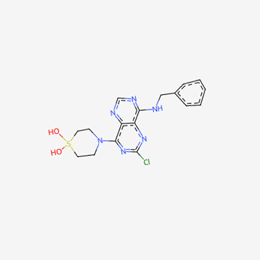 OS1(O)CCN(c2nc(Cl)nc3c(NCc4ccccc4)ncnc23)CC1